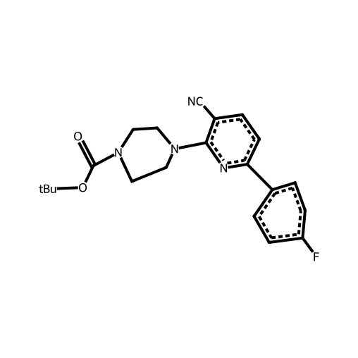 CC(C)(C)OC(=O)N1CCN(c2nc(-c3ccc(F)cc3)ccc2C#N)CC1